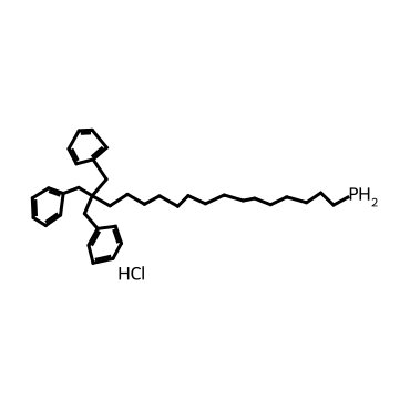 Cl.PCCCCCCCCCCCCCCCC(Cc1ccccc1)(Cc1ccccc1)Cc1ccccc1